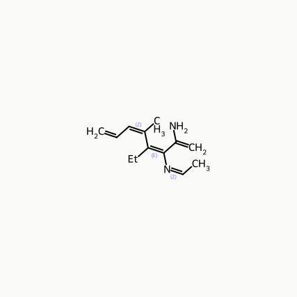 C=C\C=C(C)/C(CC)=C(/N=C\C)C(=C)N